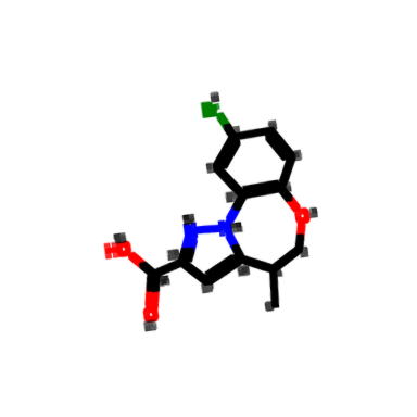 CC1COc2ccc(Br)cc2-n2nc(C(=O)O)cc21